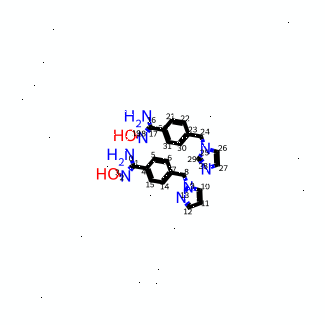 NC(=NO)c1ccc(Cn2cccn2)cc1.NC(=NO)c1ccc(Cn2ccnc2)cc1